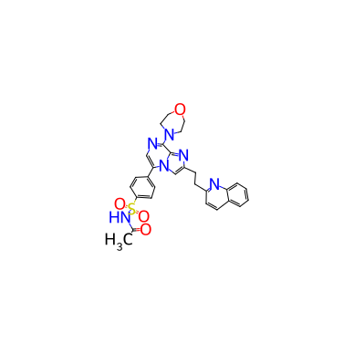 CC(=O)NS(=O)(=O)c1ccc(-c2cnc(N3CCOCC3)c3nc(CCc4ccc5ccccc5n4)cn23)cc1